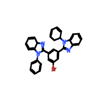 Brc1cc(C2=NC3C=CC=C=C3N2c2ccccc2)cc(-c2nc3ccccc3n2C2C=CC=CC2)c1